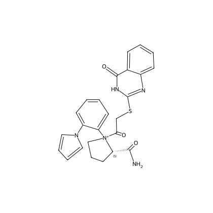 NC(=O)[C@@H]1CCC[N+]1(C(=O)CSc1nc2ccccc2c(=O)[nH]1)c1ccccc1-n1cccc1